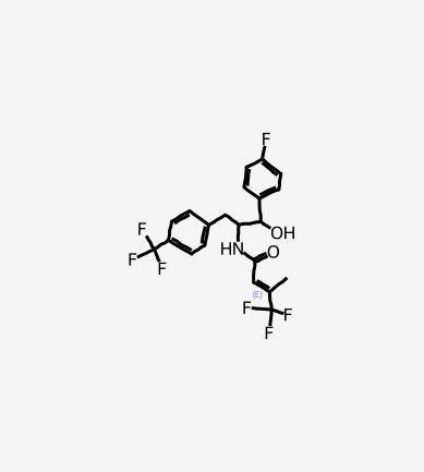 C/C(=C\C(=O)NC(Cc1ccc(C(F)(F)F)cc1)C(O)c1ccc(F)cc1)C(F)(F)F